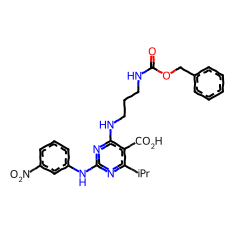 CC(C)c1nc(Nc2cccc([N+](=O)[O-])c2)nc(NCCCNC(=O)OCc2ccccc2)c1C(=O)O